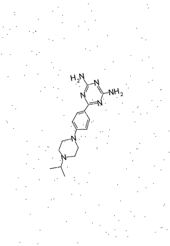 CC(C)N1CCN(c2ccc(-c3nc(N)nc(N)n3)cc2)CC1